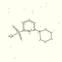 NS(=O)(=O)c1cccc(N2CCCCC2)n1